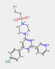 O=S(=O)(CCF)N1CCN(c2cc(-c3ccc(Cl)cc3)nc(-c3cccnc3)n2)CC1